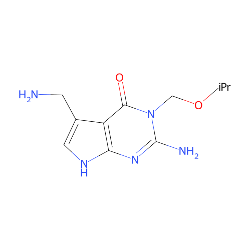 CC(C)OCn1c(N)nc2[nH]cc(CN)c2c1=O